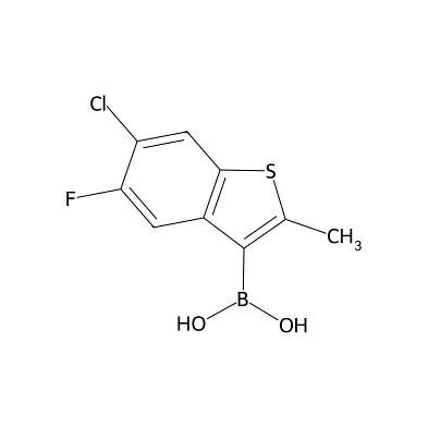 Cc1sc2cc(Cl)c(F)cc2c1B(O)O